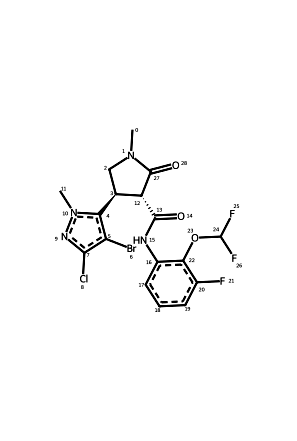 CN1C[C@H](c2c(Br)c(Cl)nn2C)[C@@H](C(=O)Nc2cccc(F)c2OC(F)F)C1=O